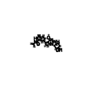 COc1nc(NC2CCC(C)(O)CC2)nn2ccc(-c3ccn4ncc(C(=O)NC(C)C)c4c3)c12